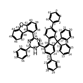 c1ccc(-c2ccc3c(c2)C(c2ccccc2)(c2ccccc2)c2cc(-c4ccccc4)cc(C4=NC(c5cccc6oc7ccccc7c56)=NC(c5ccccc5)N4)c2-3)cc1